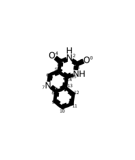 O=c1[nH]c(=O)c2cnc3ccccc3c2[nH]1